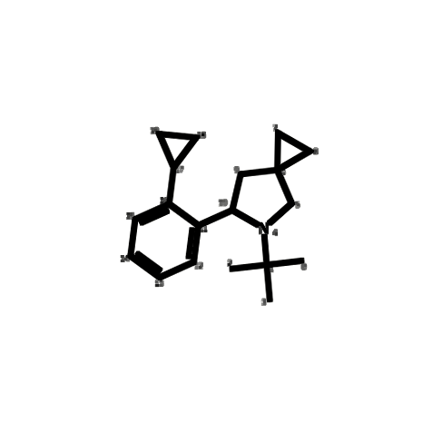 CC(C)(C)N1CC2(CC2)CC1c1ccccc1C1CC1